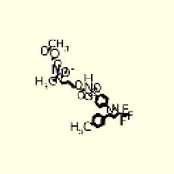 CC(=O)OCO/N=[N+](\[O-])N(C)CCCOC(=O)NS(=O)(=O)c1ccc(-n2nc(C(F)(F)F)cc2-c2ccc(C)cc2)cc1